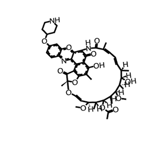 CO[C@H]1[C@@H](C)[C@H](OC(C)=O)[C@H](C)[C@@H](OC)/C=C/O[C@@]2(C)Oc3c(C)c(O)c4c(=O)c(c5oc6cc(OC7CCNCC7)ccc6nc-5c4c3C2=O)NC(=O)/C(C)=C\C=C\[C@H](C)[C@H](O)[C@H]1C